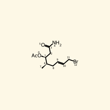 CC(=O)O[C@@H](CC(N)=O)[C@H](C)C/C=C/CBr